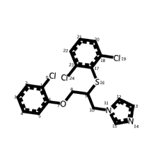 Clc1ccccc1OCC(Cn1ccnc1)Sc1c(Cl)cccc1Cl